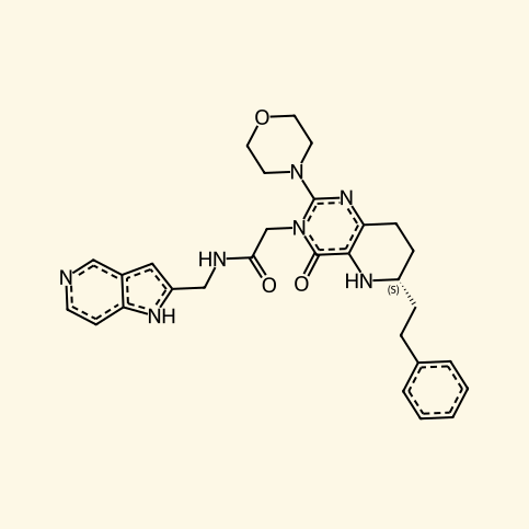 O=C(Cn1c(N2CCOCC2)nc2c(c1=O)N[C@@H](CCc1ccccc1)CC2)NCc1cc2cnccc2[nH]1